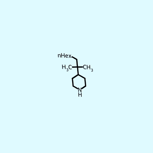 CCCCCCCC(C)(C)C1CCNCC1